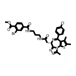 COC(=O)c1ccc(C(=O)NCCCNC(=O)C[C@@H]2N=C(c3ccc(Cl)cc3)c3c(sc(C)c3C)-n3c(C)nnc32)cc1Br